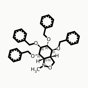 CN1OC[C@H]2[C@H](OCc3ccccc3)[C@@H](OCc3ccccc3)[C@H](OCc3ccccc3)[C@@H](OCc3ccccc3)[C@H]21